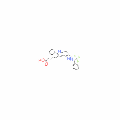 O=C(O)CCCCc1cc2cc(CN[C@H](c3ccccc3)C(F)(F)F)ccc2nc1-c1ccccc1